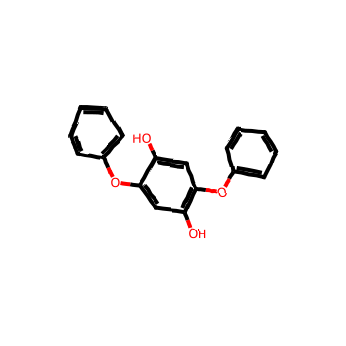 Oc1cc(Oc2ccccc2)c(O)cc1Oc1ccccc1